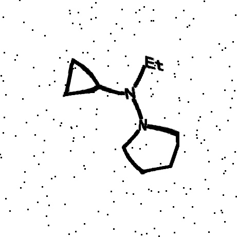 CCN(C1CC1)N1CCCC1